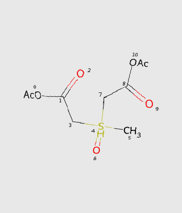 CC(=O)OC(=O)C[SH](C)(=O)CC(=O)OC(C)=O